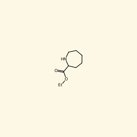 CCOC(=O)C1CCCCCN1